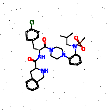 CC(C)CN(c1ccccc1N1CCN(C(=O)[C@@H](Cc2ccc(Cl)cc2)NC(=O)[C@@H]2Cc3ccccc3CN2)CC1)S(C)(=O)=O